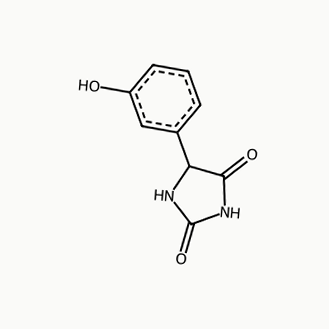 O=C1NC(=O)C(c2cccc(O)c2)N1